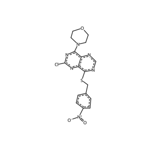 O=[N+]([O-])c1ccc(CSc2ncnc3c(N4CCOCC4)nc(Cl)nc23)cc1